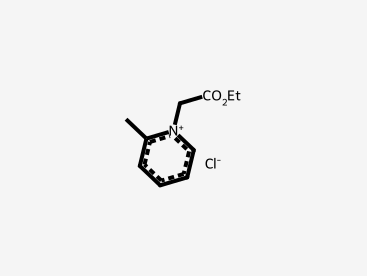 CCOC(=O)C[n+]1ccccc1C.[Cl-]